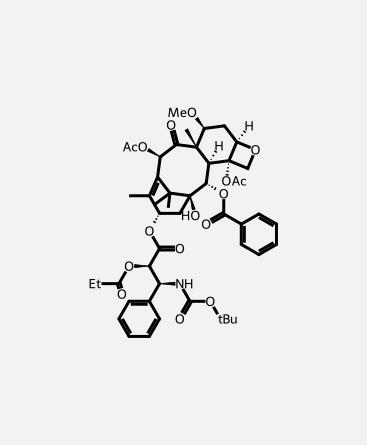 CCC(=O)O[C@@H](C(=O)O[C@H]1C[C@@]2(O)[C@@H](OC(=O)c3ccccc3)[C@@H]3[C@]4(OC(C)=O)CO[C@@H]4C[C@H](OC)[C@@]3(C)C(=O)[C@H](OC(C)=O)C(=C1C)C2(C)C)[C@@H](NC(=O)OC(C)(C)C)c1ccccc1